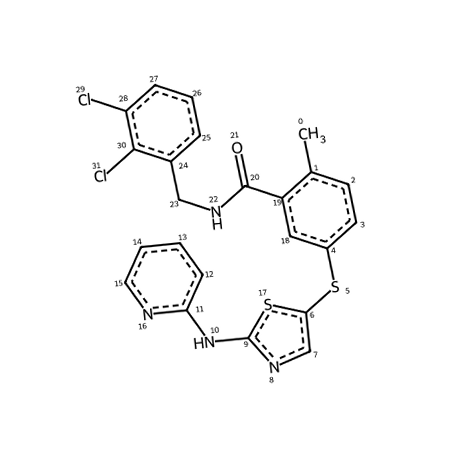 Cc1ccc(Sc2cnc(Nc3ccccn3)s2)cc1C(=O)NCc1cccc(Cl)c1Cl